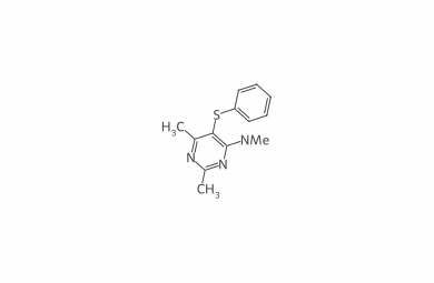 CNc1nc(C)nc(C)c1Sc1ccccc1